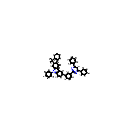 CC1(C)C2=C(C=CCC2)c2cc3c4cc(-c5cccc(-c6nc(-c7ccccc7)cc(-c7ccccc7)n6)c5)ccc4n(-c4ccccc4)c3cc21